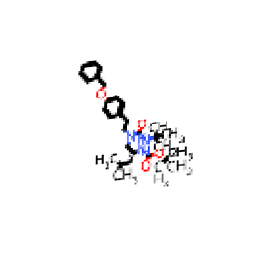 CC(C)C[C@@H](CN(CCc1ccc(OCc2ccccc2)cc1)C(=O)NC(C)(C)C)NC(=O)OC(C)(C)C